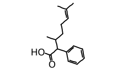 CC(C)=CCCC(C)C(C(=O)O)c1ccccc1